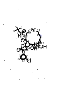 CC(C)(C)OC(=O)NC1CCCCC/C=C\C2CC2(C(=O)O)NC(=O)C2CC3(CN(c4cccc(Cl)c4)C(=O)O3)CN2C1=O